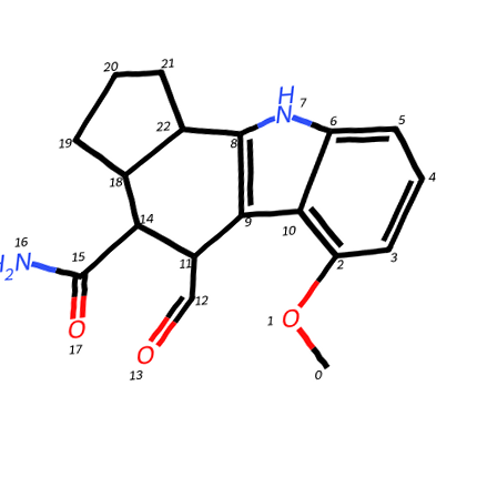 COc1cccc2[nH]c3c(c12)C(C=O)C(C(N)=O)C1CCCC31